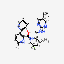 Cc1ccc(-c2ccccn2)c(C(=O)N2CC(F)(F)C[C@@H](C)[C@H]2CNc2ncc(C(F)(F)F)cn2)n1